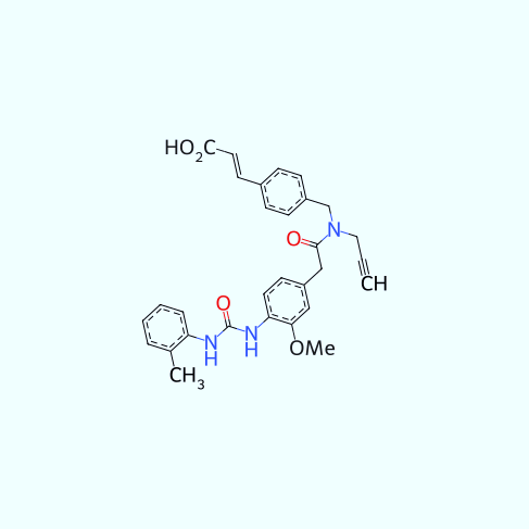 C#CCN(Cc1ccc(/C=C/C(=O)O)cc1)C(=O)Cc1ccc(NC(=O)Nc2ccccc2C)c(OC)c1